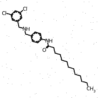 CCCCCCCCCCCCC(=O)Nc1ccc(CNCc2cc(Cl)cc(Cl)c2)cc1